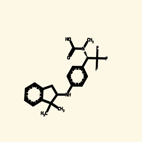 CN(C(=O)O)[C@@H](c1ccc(NC2Cc3ccccc3C2(C)C)cc1)C(F)(F)F